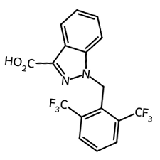 O=C(O)c1nn(Cc2c(C(F)(F)F)cccc2C(F)(F)F)c2ccccc12